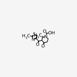 Cc1nc(C(=O)C2C(=O)CCN(C(=O)O)[C@H]2C)cs1